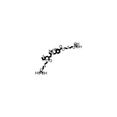 CCCCc1ncc(/C=C(\Cc2cccs2)C(=O)OCCSCCON(O)O)n1Cc1ccc(C(=O)OCCSCCON(O)O)cc1